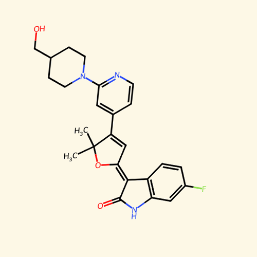 CC1(C)OC(=C2C(=O)Nc3cc(F)ccc32)C=C1c1ccnc(N2CCC(CO)CC2)c1